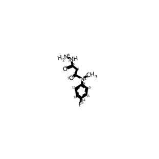 CN(C(=O)CC(=O)NN)c1ccc(F)cc1